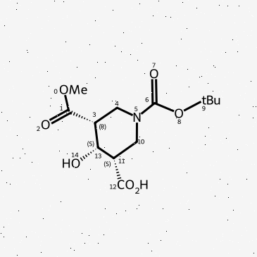 COC(=O)[C@@H]1CN(C(=O)OC(C)(C)C)C[C@H](C(=O)O)[C@@H]1O